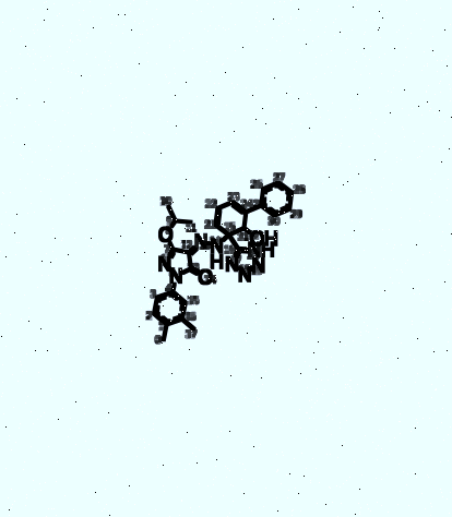 Cc1ccc(N2N=C(OC(C)C)C(=NNC3(c4nnn[nH]4)C=CC=C(c4ccccc4)C3O)C2=O)cc1C